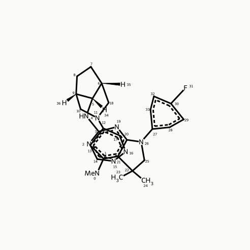 CNc1nc(N[C@H]2[C@@H]3CC[C@H]2CN(c2ccnnc2)C3)nc2c1C(C)(C)CN2c1ccc(F)cc1